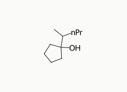 CCCC(C)C1(O)CCCC1